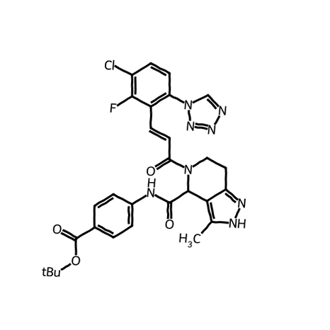 Cc1[nH]nc2c1C(C(=O)Nc1ccc(C(=O)OC(C)(C)C)cc1)N(C(=O)C=Cc1c(-n3cnnn3)ccc(Cl)c1F)CC2